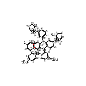 Cc1cc(C)cc(-c2cc(C(C)(C)C)ccc2N2c3ccc(C(C)(C)C)cc3B3c4ccc(C5CC6CCC5(C)C6(C)C)cc4N(c4cccc(C5CC6CCC5(C)C6(C)C)c4)c4cc(C)cc2c43)c1